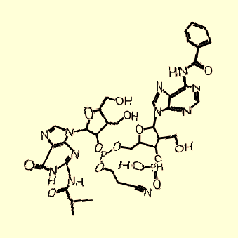 CC(C)C(=O)Nc1nc2c(ncn2C2OC(CO)C(CO)C2OP(OCCC#N)OCC2OC(n3cnc4c(NC(=O)c5ccccc5)ncnc43)C(CO)C2O[PH](=O)O)c(=O)[nH]1